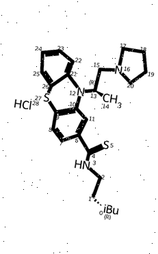 CC[C@@H](C)CCNC(=S)c1ccc2c(c1)N([C@H](C)CN1CCCC1)c1ccccc1S2.Cl